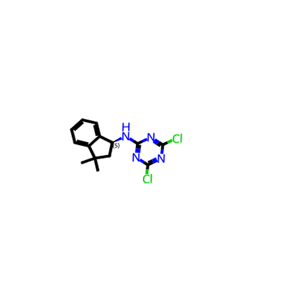 CC1(C)C[C@H](Nc2nc(Cl)nc(Cl)n2)c2ccccc21